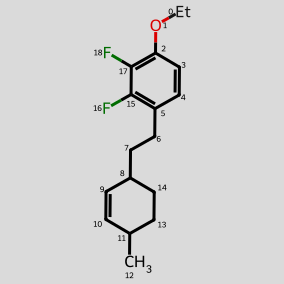 CCOc1ccc(CCC2C=CC(C)CC2)c(F)c1F